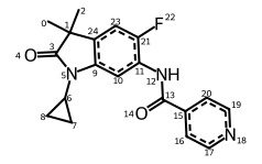 CC1(C)C(=O)N(C2CC2)c2cc(NC(=O)c3ccncc3)c(F)cc21